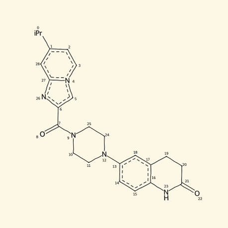 CC(C)c1ccn2cc(C(=O)N3CCN(c4ccc5c(c4)CCC(=O)N5)CC3)nc2c1